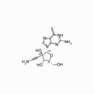 NC#C[C@@]1(O)C(O)[C@@H](CO)O[C@H]1n1cnc2c(=S)[nH]c(N)nc21